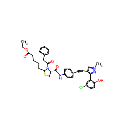 CCOC(=O)CCCCC1SC[C@@H](C(=O)Nc2ccc(C#Cc3cn(C)nc3-c3cc(Cl)ccc3O)cc2)N1C(=O)Cc1ccccc1